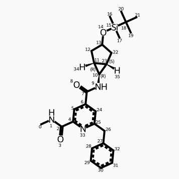 CNC(=O)c1cc(C(=O)N[C@H]2[C@@H]3CC(O[Si](C)(C)C(C)(C)C)C[C@@H]32)cc(Cc2ccccc2)n1